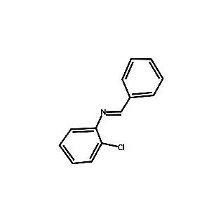 Clc1ccccc1N=Cc1ccccc1